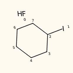 F.IC1CCCCC1